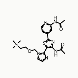 CC(=O)Nc1cc(-c2nc(NC(C)=O)c(-c3nccn3COCC[Si](C)(C)C)s2)ccn1